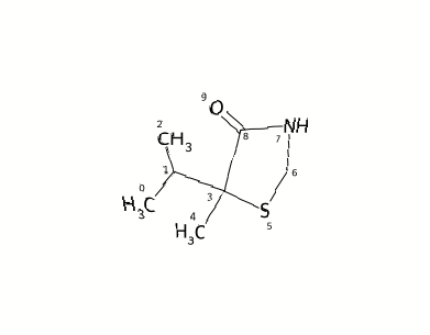 CC(C)C1(C)SCNC1=O